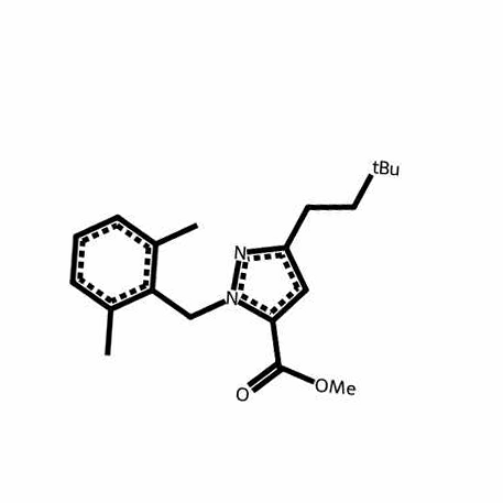 COC(=O)c1cc(CCC(C)(C)C)nn1Cc1c(C)cccc1C